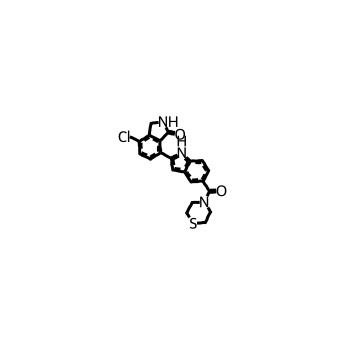 O=C1NCc2c(Cl)ccc(-c3cc4cc(C(=O)N5CCSCC5)ccc4[nH]3)c21